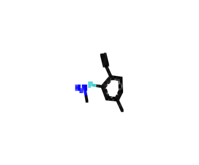 C#Cc1ccc(C)cc1F.CN